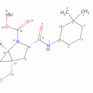 CC1(C)CCCC(NC(=O)[C@@H]2C[C@@]3(CO)C[C@H]3N2C(=O)OC(C)(C)C)C1